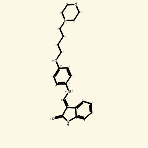 O=C1Nc2ccccc2/C1=C\Nc1ccc(OCCCCN2CCOCC2)cc1